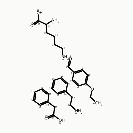 CCOc1ccc(C=O)cc1.NCCCCC(N)C(=O)O.NCCc1ccccc1.O=C(O)Cc1ccccc1